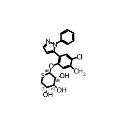 Cc1cc(O[C@@H]2SC[C@@H](O)[C@H](O)[C@H]2O)c(-c2ccnn2-c2ccccc2)cc1Cl